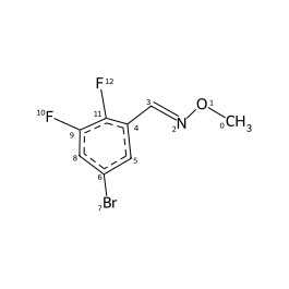 CON=Cc1cc(Br)cc(F)c1F